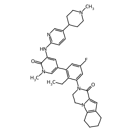 CCc1c(-c2cc(Nc3ccc(C4CCN(C)CC4)cn3)c(=O)n(C)c2)cc(F)cc1N1CCn2c(cc3c2CCCC3)C1=O